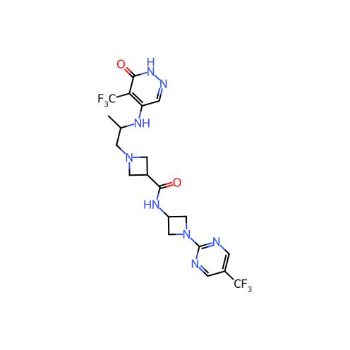 CC(CN1CC(C(=O)NC2CN(c3ncc(C(F)(F)F)cn3)C2)C1)Nc1cn[nH]c(=O)c1C(F)(F)F